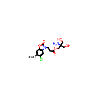 CC(C)COc1cc2oc(=O)n(CCC(=O)OCC(N)(CO)CO)c2cc1Cl